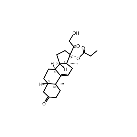 CCC(=O)O[C@@]1(C(=O)CO)CC[C@H]2[C@@H]3CC[C@H]4CC(=O)CC[C@]4(C)C3=CC[C@@]21C